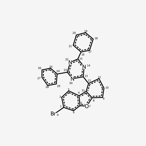 Brc1ccc2c(c1)oc1cccc(-c3nc(-c4ccccc4)nc(-c4ccccc4)n3)c12